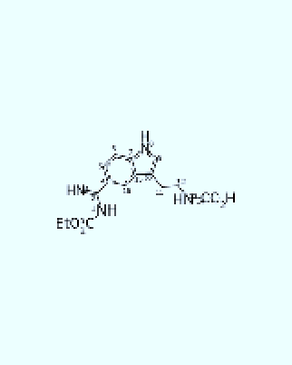 CCOC(=O)NC(=N)c1ccc2[nH]cc(CCNC(=O)O)c2c1